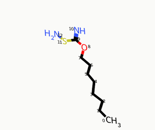 CCCCCCCCOC(=N)SN